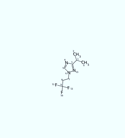 CC(C)c1ncn(CCC(F)(F)F)n1